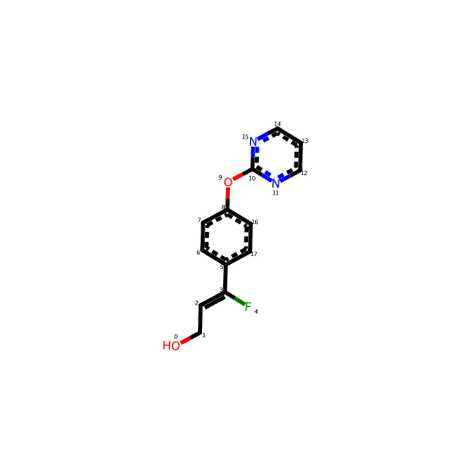 OCC=C(F)c1ccc(Oc2ncccn2)cc1